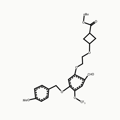 CCCCOC(=O)C1CC(OCCOc2cc(OCc3ccc(OC)cc3)c(OC(F)(F)F)cc2C=O)C1